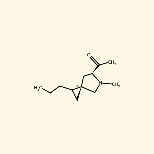 CCCC1C[C@]12C[C@@H](C(C)=O)N(C)C2